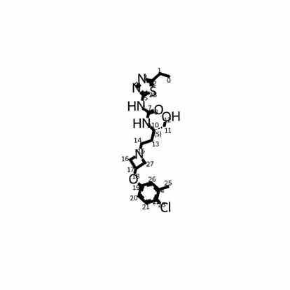 CCc1nnc(NC(=O)N[C@H](CO)CCN2CC(Oc3ccc(Cl)c(C)c3)C2)s1